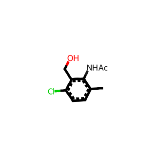 CC(=O)Nc1c(C)ccc(Cl)c1CO